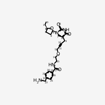 CC[C@@H]1CC[C@H](n2cc(CC#CCOCCNC(=O)c3ccc(CN)cc3)c(=O)[nH]c2=O)O1